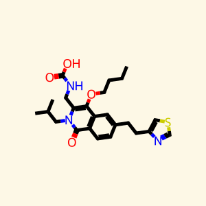 CCCCOc1c(CNC(=O)O)n(CC(C)C)c(=O)c2ccc(CCc3cscn3)cc12